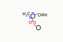 COCc1cc(C(=O)OCc2ccccc2)nc(C)n1